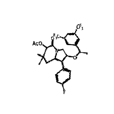 CC(=O)OC1C(=O)N2CC(O[C@H](C)c3cc(C(F)(F)F)cc(C(F)(F)F)c3)C(c3ccc(F)cc3)C2CC1(C)C